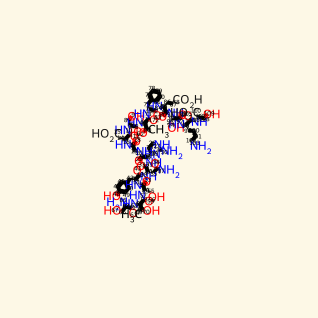 C[C@@H](O)[C@H](NC(=O)[C@H](CO)NC(=O)[C@H](CC(=O)O)NC(=O)CNC(=O)[C@H](CCCNC(=N)N)NC(=O)[C@H](CC(N)=O)NC(=O)[C@H](Cc1ccc(O)cc1)NC(=O)[C@H](CO)NC(=O)[C@@H](NC(=O)[C@@H](N)CO)[C@@H](C)O)C(=O)N[C@@H](Cc1ccccc1)C(=O)N[C@@H](CCC(=O)O)C(=O)N[C@@H](CO)C(=O)N[C@@H](CCCCN)C(=O)N[C@@H](CO)C(=O)O